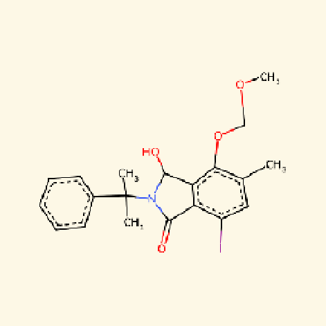 COCOc1c(C)cc(I)c2c1C(O)N(C(C)(C)c1ccccc1)C2=O